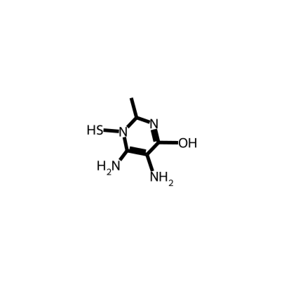 CC1N=C(O)C(N)=C(N)N1S